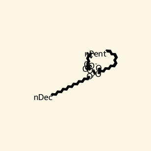 CCCCC/C=C\C/C=C\C/C=C\CCCCC(=O)O[C@H](COCCCCCCCCCCCCCCCCCCCCCCCC)COP(=O)([O-])OCC[N+](C)(C)C